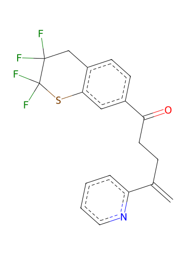 C=C(CCC(=O)c1ccc2c(c1)SC(F)(F)C(F)(F)C2)c1ccccn1